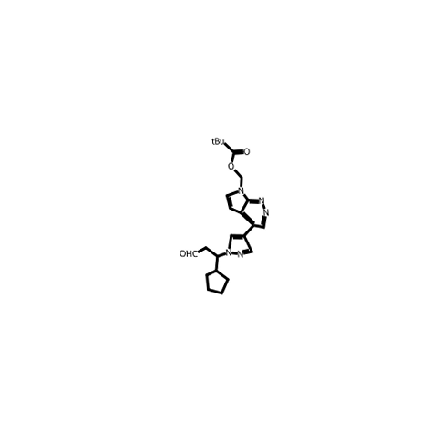 CC(C)(C)C(=O)OCn1ccc2c(-c3cnn(C(CC=O)C4CCCC4)c3)cnnc21